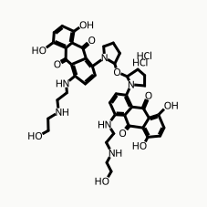 Cl.Cl.O=C1c2c(O)ccc(O)c2C(=O)c2c(N3CCCC3OC3CCCN3c3ccc(NCCNCCO)c4c3C(=O)c3c(O)ccc(O)c3C4=O)ccc(NCCNCCO)c21